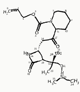 C=CCOC(=O)N1CCCCC1C(=O)C[C@H]1NC(=O)[C@@H]1[C@@](C)(O[SiH](C)C)C(C)(C)C